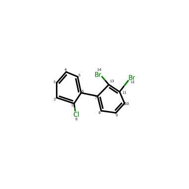 Clc1ccccc1-c1cc[c]c(Br)c1Br